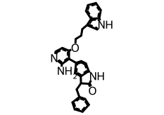 Nc1nccc(OCCCc2c[nH]c3ccccc23)c1-c1ccc2c(c1)C(Cc1ccccc1)C(=O)N2